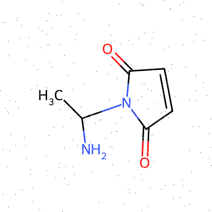 CC(N)N1C(=O)C=CC1=O